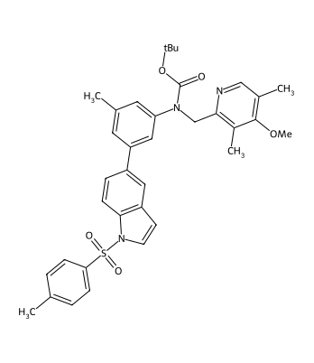 COc1c(C)cnc(CN(C(=O)OC(C)(C)C)c2cc(C)cc(-c3ccc4c(ccn4S(=O)(=O)c4ccc(C)cc4)c3)c2)c1C